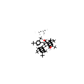 CC(C)(C)c1ccc(C(O)C(C(O)c2ccc(C(C)(C)C)cc2C(C)(C)C)(C(O)c2ccc(C(C)(C)C)cc2C(C)(C)C)C(OP(=O)=O)(c2ccc(C(C)(C)C)cc2C(C)(C)C)c2ccc(C(C)(C)C)cc2C(C)(C)C)c(C(C)(C)C)c1.OP(O)OP(O)O